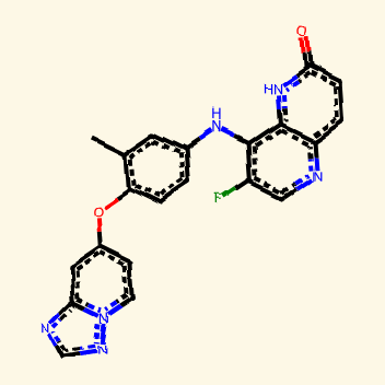 Cc1cc(Nc2c(F)cnc3ccc(=O)[nH]c23)ccc1Oc1ccn2ncnc2c1